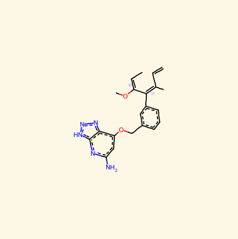 C=C/C(C)=C(\C(=C/C)OC)c1cccc(COc2cc(N)nc3[nH]nnc23)c1